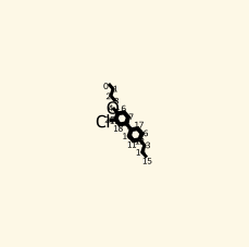 CCCCOc1ccc(-c2ccc(CCC)cc2)cc1Cl